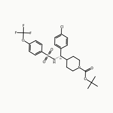 CC(C)(C)OC(=O)N1CCC([C@H](NS(=O)(=O)c2ccc(OC(F)(F)F)cc2)c2ccc(Cl)cc2)CC1